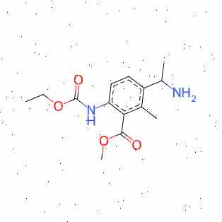 CCOC(=O)Nc1ccc(C(C)N)c(C)c1C(=O)OC